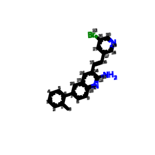 Cc1ccccc1-c1ccc2nc(N)c(/C=C/c3cncc(Br)c3)cc2c1